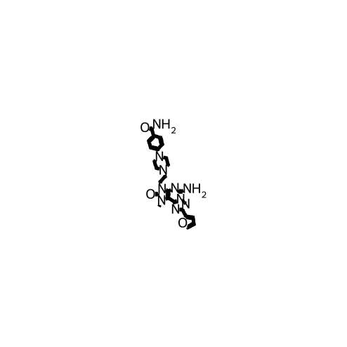 Cn1c(=O)n(CCN2CCN(c3ccc(C(N)=O)cc3)CC2)c2nc(N)n3nc(-c4ccco4)nc3c21